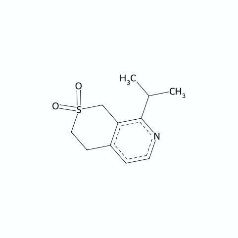 CC(C)c1nccc2c1CS(=O)(=O)CC2